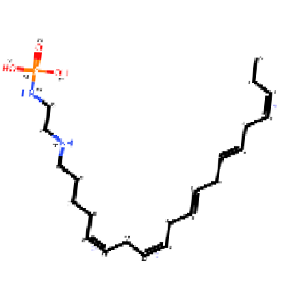 CC/C=C\CC=CCC=CC/C=C\C/C=C\CCCCNCCNP(=O)(O)O